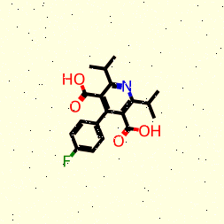 CC(C)c1nc(C(C)C)c(C(=O)O)c(-c2ccc(F)cc2)c1C(=O)O